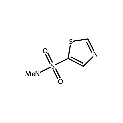 CNS(=O)(=O)c1cncs1